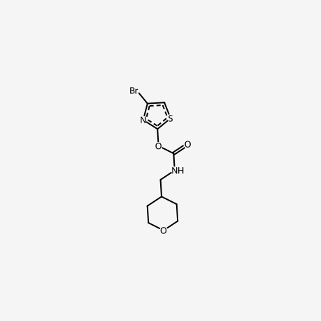 O=C(NCC1CCOCC1)Oc1nc(Br)cs1